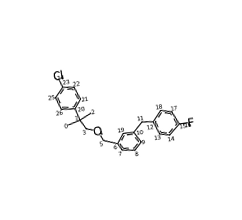 CC(C)(COCc1cccc(Cc2ccc(F)cc2)c1)c1ccc(Cl)cc1